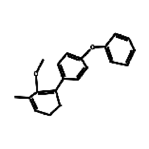 COC1=C(c2ccc(Oc3ccccc3)cc2)[CH]CC=C1C